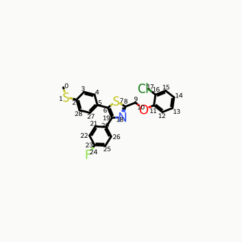 CSc1ccc(-c2sc(COc3ccccc3Cl)nc2-c2ccc(F)cc2)cc1